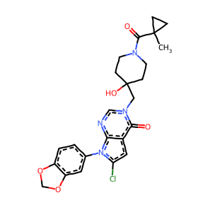 CC1(C(=O)N2CCC(O)(Cn3cnc4c(cc(Cl)n4-c4ccc5c(c4)OCO5)c3=O)CC2)CC1